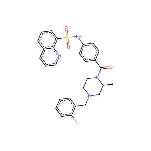 C[C@H]1CN(Cc2ccccc2F)CCN1C(=O)c1ccc(NS(=O)(=O)c2cccc3cccnc23)cc1